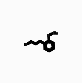 CCCCOc1ccccc1CCCBr